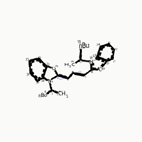 CCCCC(C)N1/C(=C/C=C/c2oc3ccccc3[n+]2C(C)CCCC)Oc2ccccc21